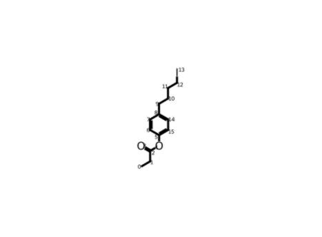 CCC(=O)Oc1ccc(CCCCI)cc1